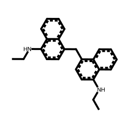 CCNc1ccc(Cc2ccc(NCC)c3ccccc23)c2ccccc12